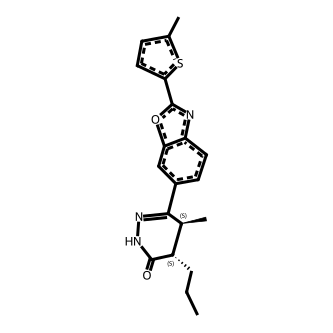 CCC[C@@H]1C(=O)NN=C(c2ccc3nc(-c4ccc(C)s4)oc3c2)[C@H]1C